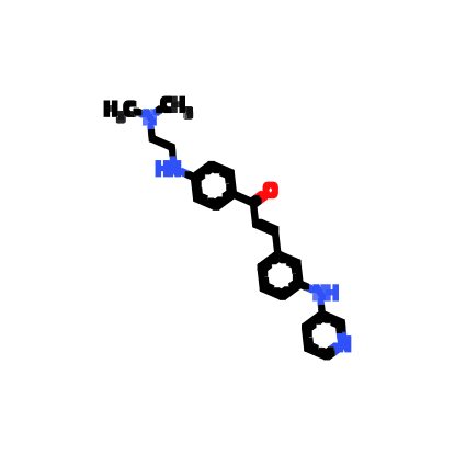 CN(C)CCNc1ccc(C(=O)C=Cc2cccc(Nc3cccnc3)c2)cc1